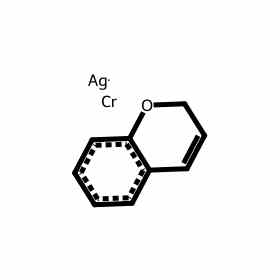 C1=Cc2ccccc2OC1.[Ag].[Cr]